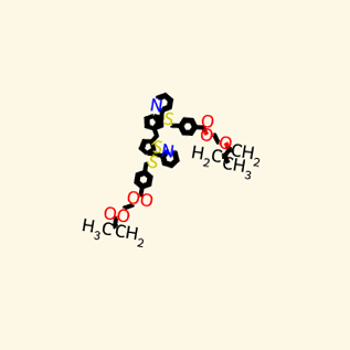 C=C(C)C(=C)OCCOC(=O)c1ccc(CSC2(c3ccccn3)CC3(CC45C=CC(C4)C(SCc4ccc(C(=O)OCCOC(=O)C(=C)C)cc4)(c4ccccn4)S5)C=CC2C3)cc1